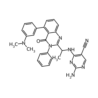 CC(Nc1nc(N)ncc1C#N)c1nc2cccc(-c3cccc(N(C)C)c3)c2c(=O)n1-c1ccccc1